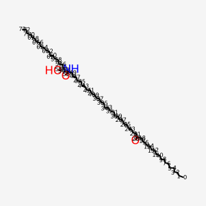 CCCCCCCCCCCCCCCCCCCC(=O)CCCCCCCCCCCCCCCCCCCCCCCCCCCCCC(=O)N[C@H](CO)CCCCCCCCCCCCCCCCCC